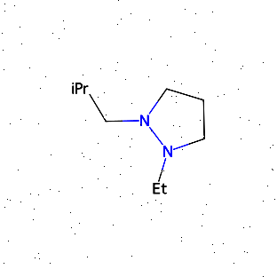 CCN1CCCN1CC(C)C